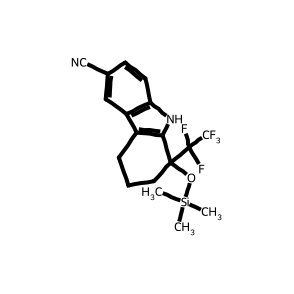 C[Si](C)(C)OC1(C(F)(F)C(F)(F)F)CCCc2c1[nH]c1ccc(C#N)cc21